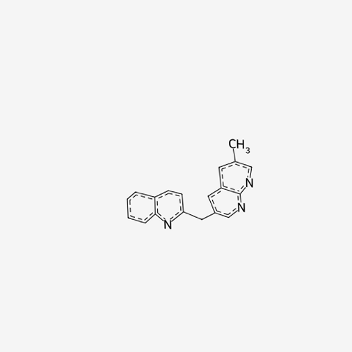 Cc1cnc2ncc(Cc3ccc4ccccc4n3)cc2c1